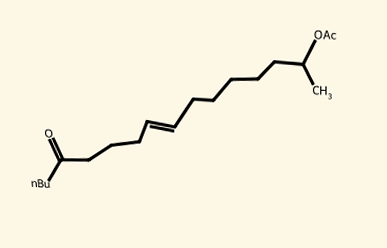 CCCCC(=O)CCCC=CCCCCCC(C)OC(C)=O